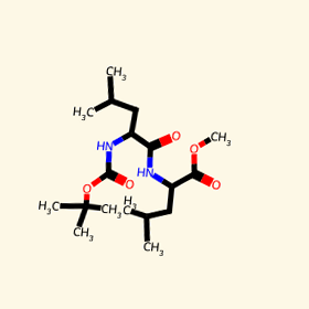 COC(=O)C(CC(C)C)NC(=O)C(CC(C)C)NC(=O)OC(C)(C)C